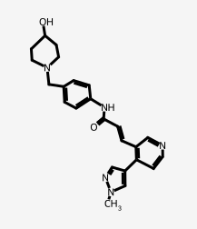 Cn1cc(-c2ccncc2C=CC(=O)Nc2ccc(CN3CCC(O)CC3)cc2)cn1